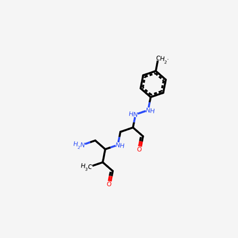 [CH2]c1ccc(NNC(C=O)CNC(CN)C(C)C=O)cc1